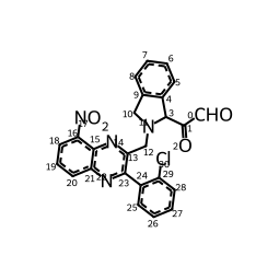 O=CC(=O)C1c2ccccc2CN1Cc1nc2c([N+](=O)[O-])cccc2nc1-c1ccccc1Cl